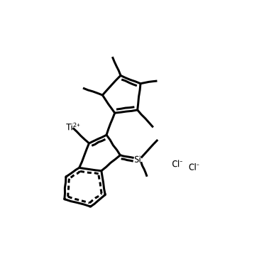 CC1=C(C)C(C)C(C2=[C]([Ti+2])c3ccccc3C2=[Si](C)C)=C1C.[Cl-].[Cl-]